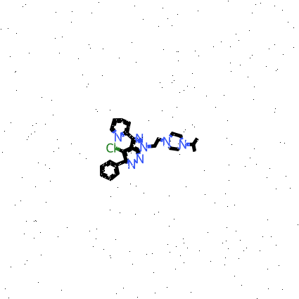 CC(C)N1CCN(CCn2nc(-c3ccccn3)c3c(Cl)c(-c4ccccc4)nnc32)CC1